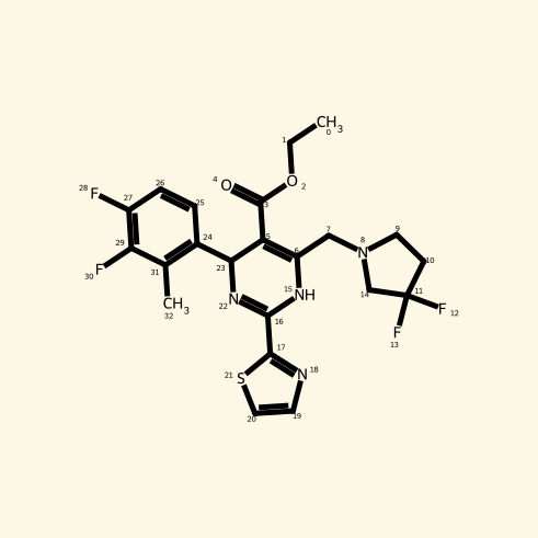 CCOC(=O)C1=C(CN2CCC(F)(F)C2)NC(c2nccs2)=NC1c1ccc(F)c(F)c1C